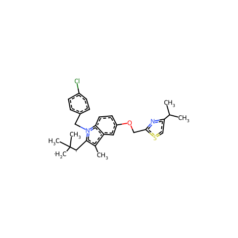 [CH2]C(C)(C)[CH]c1c(C)c2cc(OCc3nc(C(C)C)cs3)ccc2n1Cc1ccc(Cl)cc1